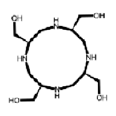 OC[C@H]1CN[C@@H](CO)CN[C@@H](CO)CN[C@@H](CO)CN1